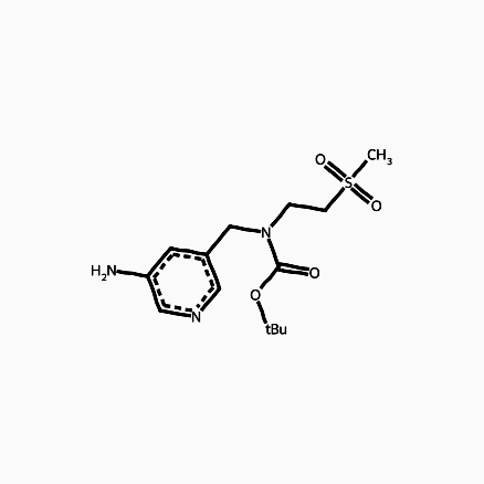 CC(C)(C)OC(=O)N(CCS(C)(=O)=O)Cc1cncc(N)c1